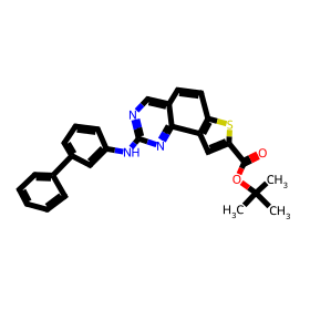 CC(C)(C)OC(=O)c1cc2c(ccc3cnc(Nc4cccc(-c5ccccc5)c4)nc32)s1